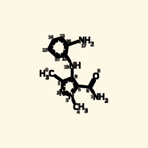 Cc1nn(C)c(C(N)=O)c1Nc1ccccc1N